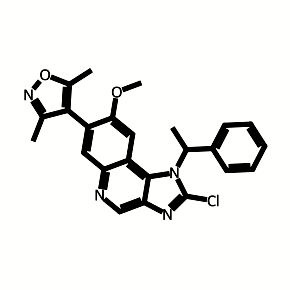 COc1cc2c(cc1-c1c(C)noc1C)ncc1nc(Cl)n(C(C)c3ccccc3)c12